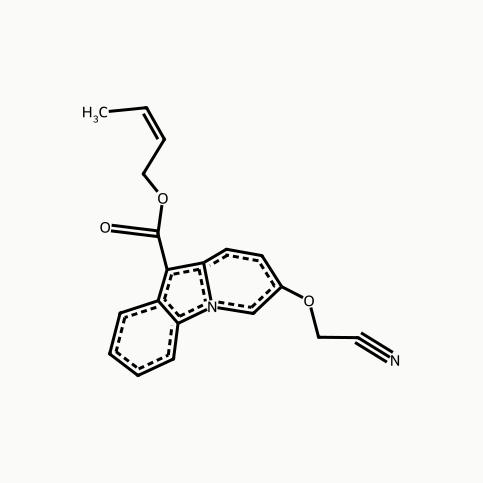 C/C=C\COC(=O)c1c2ccccc2n2cc(OCC#N)ccc12